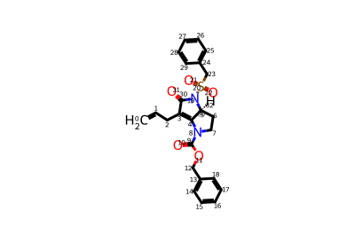 C=CCC1=C2[C@H](CCN2C(=O)OCc2ccccc2)N(S(=O)(=O)Cc2ccccc2)C1=O